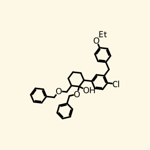 CCOc1ccc(Cc2cc(C3CCCC(COCc4ccccc4)C3(O)OCc3ccccc3)ccc2Cl)cc1